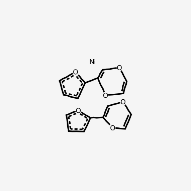 C1=COC(c2ccco2)=CO1.C1=COC(c2ccco2)=CO1.[Ni]